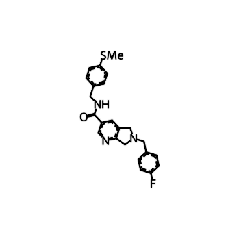 CSc1ccc(CNC(=O)c2cnc3c(c2)CN(Cc2ccc(F)cc2)C3)cc1